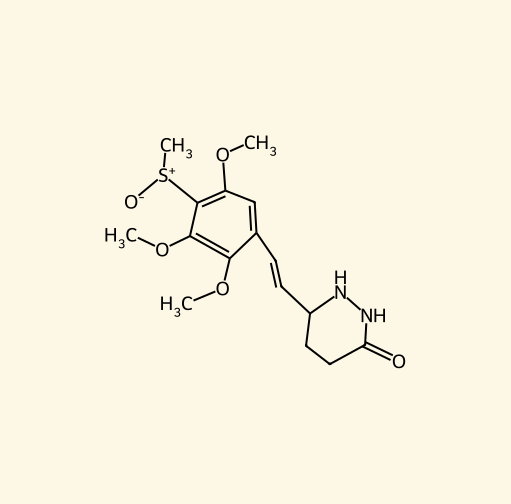 COc1cc(/C=C/C2CCC(=O)NN2)c(OC)c(OC)c1[S+](C)[O-]